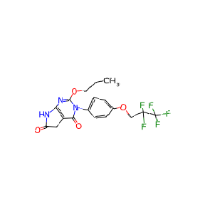 CCCOc1nc2c(c(=O)n1-c1ccc(OCC(F)(F)C(F)(F)F)cc1)CC(=O)N2